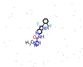 Cn1ncnc1C(=O)Nc1cc2[nH]c(-c3ccccc3C(F)F)c(F)c2cn1